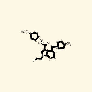 O=C(NC[C@H]1CC[C@H](C(=O)O)CC1)c1cn(CCF)c2nccc(Cc3ccc(C(F)(F)F)cc3)c12